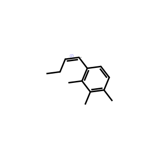 CC/C=[C]\c1ccc(C)c(C)c1C